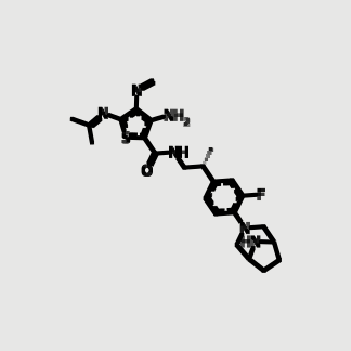 C=Nc1c(N=C(C)C)sc(C(=O)NC[C@H](C)c2ccc(N3CC4CCC(C3)N4)c(F)c2)c1N